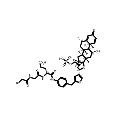 C[C@]12C=CC(=O)C=C1[C@@H](F)C[C@H]1[C@@H]3C[C@H]4O[C@@H](c5csc(Cc6ccc(NC(=O)[C@H](CCC(=O)O)NC(=O)CNC(=O)CBr)cc6)c5)O[C@@]4(C(=O)COP(=O)(O)O)[C@@]3(C)C[C@H](O)[C@@]12F